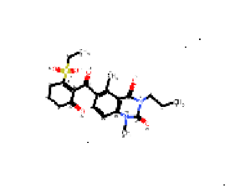 CCCn1c(=O)c2c(C)c(C(=O)C3=C(S(=O)(=O)CC)CCCC3=O)ccc2n(C)c1=O